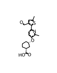 Cc1cc(C=O)c(-c2ccc(O[C@H]3CCC[C@H](C(=O)O)C3)c(C)n2)s1